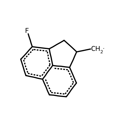 [CH2]C1Cc2c(F)ccc3cccc1c23